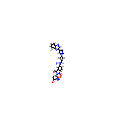 O=C1CCC(N2C(=O)c3ccc(NCC4CC(n5cc(-c6cnc7cccc(F)c7n6)cn5)C4)cc3C2=O)C(=O)N1